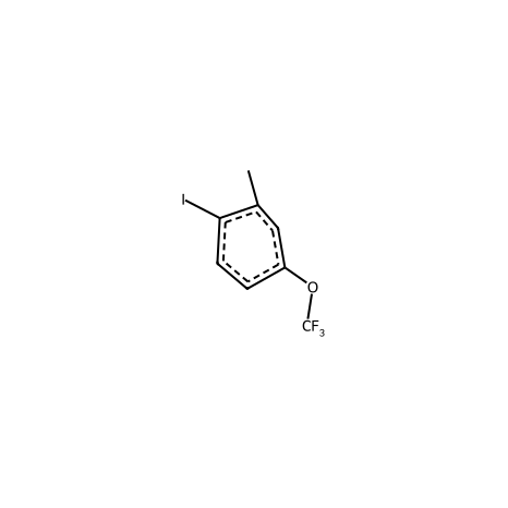 Cc1cc(OC(F)(F)F)ccc1I